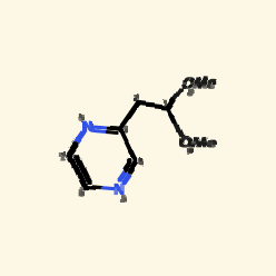 COC(Cc1cn[c]cn1)OC